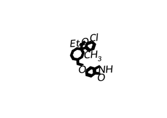 CCC(=O)C1(c2cc(Cl)ccc2C)CCCCC(CCOc2ccc3c(c2)CNC3=O)CC1